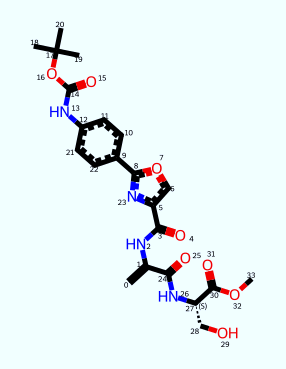 C=C(NC(=O)c1coc(-c2ccc(NC(=O)OC(C)(C)C)cc2)n1)C(=O)N[C@@H](CO)C(=O)OC